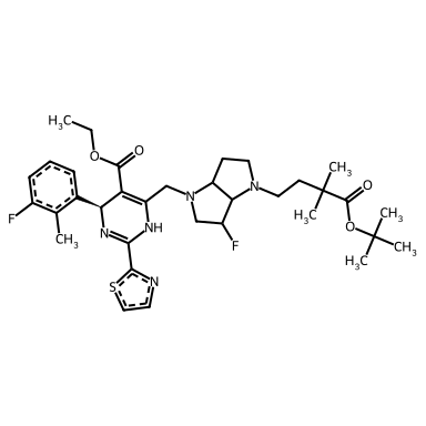 CCOC(=O)C1=C(CN2CC(F)C3C2CCN3CCC(C)(C)C(=O)OC(C)(C)C)NC(c2nccs2)=N[C@H]1c1cccc(F)c1C